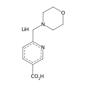 O=C(O)c1ccc(CN2CCOCC2)nc1.[LiH]